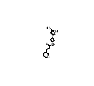 Nc1cc([C@H]2C[C@@H](NC(=O)CCc3cccnc3)C2)n[nH]1